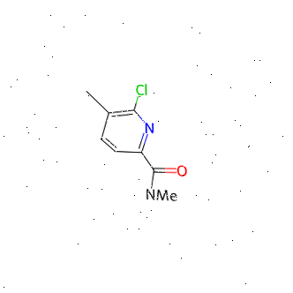 CNC(=O)c1ccc(C)c(Cl)n1